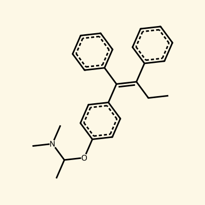 CCC(=C(c1ccccc1)c1ccc(OC(C)N(C)C)cc1)c1ccccc1